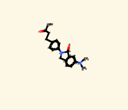 COC(=O)CCc1ccc(N2Cc3ccc(N(C)C)cc3C2=O)cc1